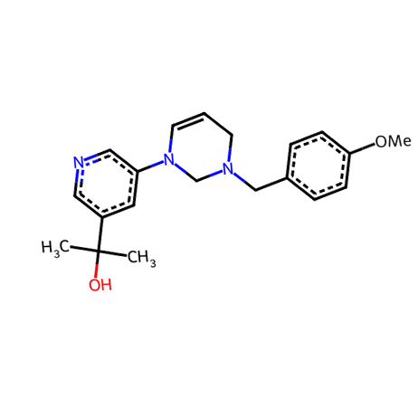 COc1ccc(CN2CC=CN(c3cncc(C(C)(C)O)c3)C2)cc1